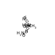 CN(C)c1ccc(N2CCC(C(N)=O)C2)cc1C(=O)NCc1cccc(-c2nccs2)c1